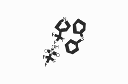 FC(F)(F)c1ccncc1.O=S(=O)(O)C(F)(F)F.c1ccc(Sc2ccccc2)cc1